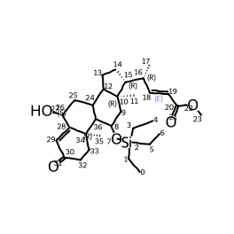 CC[Si](CC)(CC)OC1C[C@@]2(C)C(CC[C@@H]2[C@H](C)/C=C/C(=O)OC)C2C[C@H](O)C3=CC(=O)CC[C@]3(C)C12